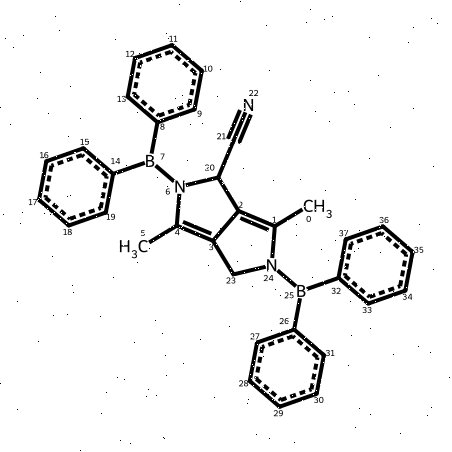 CC1=C2C(=C(C)N(B(c3ccccc3)c3ccccc3)C2C#N)CN1B(c1ccccc1)c1ccccc1